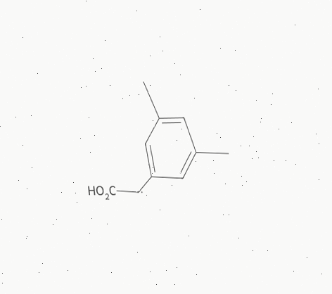 Cc1cc(C)cc([CH]C(=O)O)c1